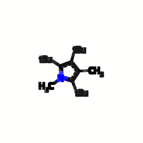 Cc1c(C(C)(C)C)c(C(C)(C)C)n(C)c1C(C)(C)C